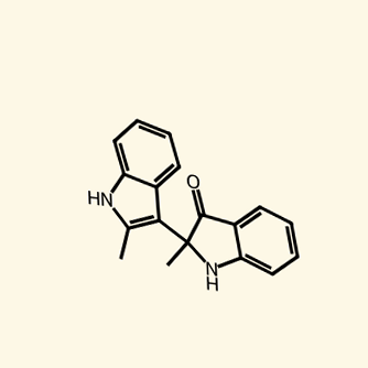 Cc1[nH]c2ccccc2c1C1(C)Nc2ccccc2C1=O